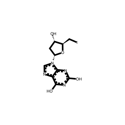 Oc1nc(O)c2ncn([C@@H]3C[C@H](O)[C@@H](CI)O3)c2n1